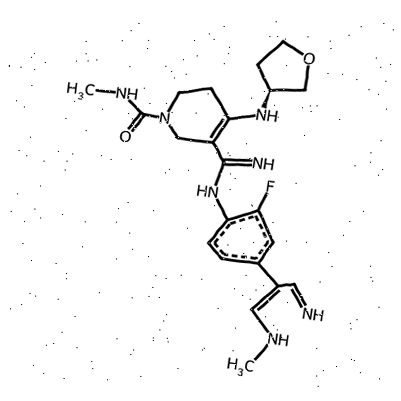 CN/C=C(\C=N)c1ccc(NC(=N)C2=C(N[C@H]3CCOC3)CCN(C(=O)NC)C2)c(F)c1